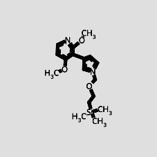 COc1ccnc(OC)c1-c1ccn(COCC[Si](C)(C)C)c1